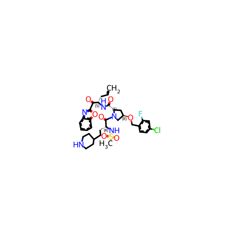 C=CC[C@H](NC(=O)[C@@H]1C[C@@H](OCc2ccc(Cl)cc2F)CN1C(=O)[C@@H](CCC1CCNCC1)NS(C)(=O)=O)C(=O)c1nc2ccccc2o1